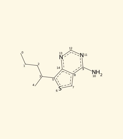 CCCC(C)c1scc2c(N)ncnc12